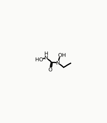 CCN(O)C(=O)NO